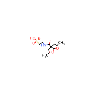 CCCC(CCC)(C(=O)O)C(=O)NCCS(=O)(=O)O